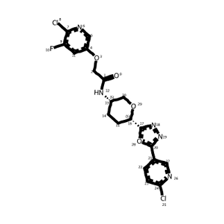 O=C(COc1cnc(Cl)c(F)c1)N[C@H]1CC[C@@H](c2nnc(-c3ccc(Cl)nc3)o2)OC1